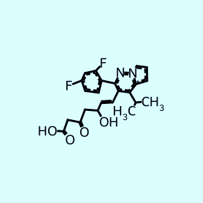 CC(C)c1c(C=CC(O)CC(=O)CC(=O)O)c(-c2ccc(F)cc2F)nn2cccc12